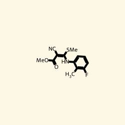 COC(=O)C(C#N)=C(Nc1cccc(F)c1C)SC